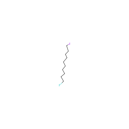 FCCCCCCCCCCI